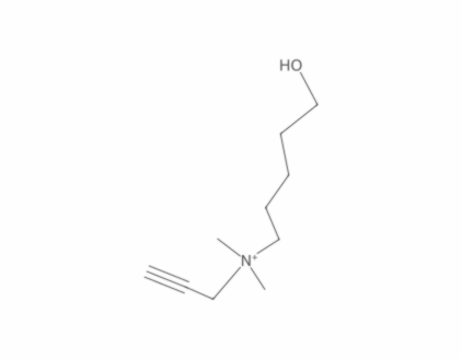 C#CC[N+](C)(C)CCCCCO